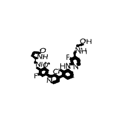 COc1cc(-c2nccc(-c3cccc(Nc4nccc(CNCCO)c4F)c3C)c2Cl)cc(F)c1CNC[C@H]1CCC(=O)N1